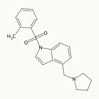 Cc1ccccc1S(=O)(=O)n1ccc2c(CN3CCCC3)cccc21